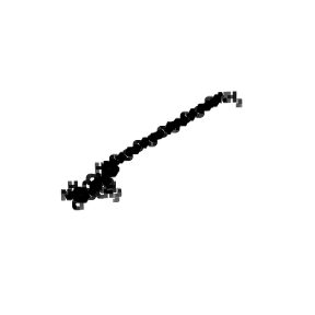 CC1(C)C(NC(=O)c2ccc(OCCOCCOCCOCCOCCOCCOCCOCCOCCN)cc2)C(C)(C)C1Oc1ccc(C#N)c(Cl)c1